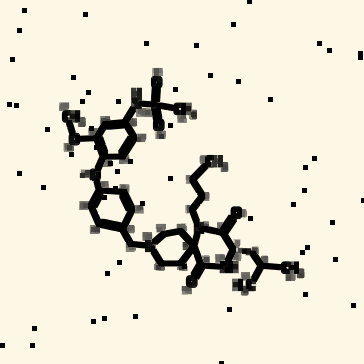 CCCCN1C(=O)[C@H](CC(C)C)NC(=O)C12CCN(Cc1ccc(Oc3ccc(NS(C)(=O)=O)cc3OC)cc1)CC2